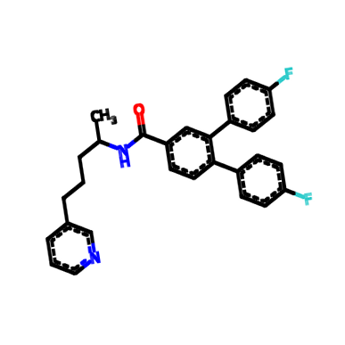 CC(CCCc1cccnc1)NC(=O)c1ccc(-c2ccc(F)cc2)c(-c2ccc(F)cc2)c1